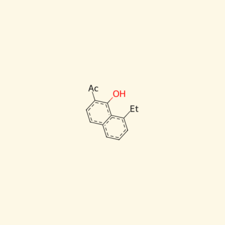 CCc1cccc2ccc(C(C)=O)c(O)c12